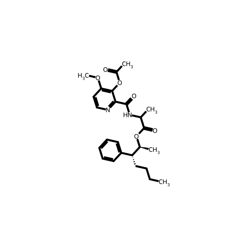 CCCC[C@H](c1ccccc1)[C@H](C)OC(=O)C(C)NC(=O)c1nccc(OC)c1OC(C)=O